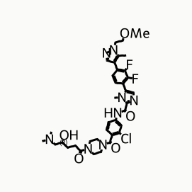 COCCn1ncc(-c2ccc(-c3cnc(C(=O)Nc4ccc(C(=O)N5CCN(C(=O)CC[C@@H](O)CN(C)C)CC5)c(Cl)c4)n3C)c(F)c2F)c1C